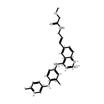 COCC(=O)NCC=Cc1ccc2ncnc(Nc3ccc(Oc4ccc(C)nc4)c(C)c3)c2c1.Cl